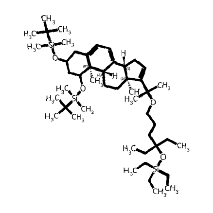 CCC(CC)(CCCOC(C)(C)C1=CC[C@H]2C3=CC=C4CC(O[Si](C)(C)C(C)(C)C)CC(O[Si](C)(C)C(C)(C)C)[C@]4(C)[C@H]3CC[C@]12C)O[Si](CC)(CC)CC